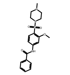 COc1cc(NC(=O)c2ccccc2)ccc1S(=O)(=O)N1CCN(C)CC1